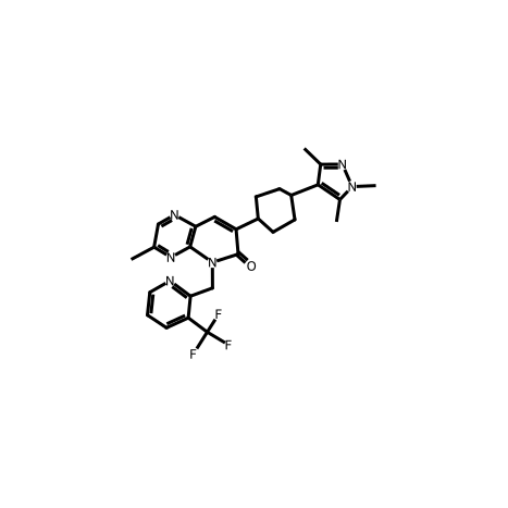 Cc1cnc2cc(C3CCC(c4c(C)nn(C)c4C)CC3)c(=O)n(Cc3ncccc3C(F)(F)F)c2n1